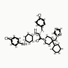 O=C([C@@H](Cc1ccc(Cl)cc1)N[C@H]1CC[C@@H](Nc2ccc(Cl)cc2)CC1)N1CCC(Cn2cncn2)(C2CCCCC2)CC1